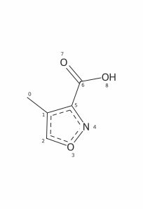 Cc1conc1C(=O)O